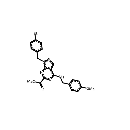 CCc1ccc(Cn2ncc3c(NCc4ccc(OC)cc4)nc(C(=O)OC)nc32)cc1